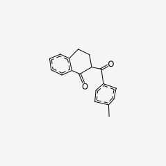 Cc1ccc(C(=O)C2CCc3ccccc3C2=O)cc1